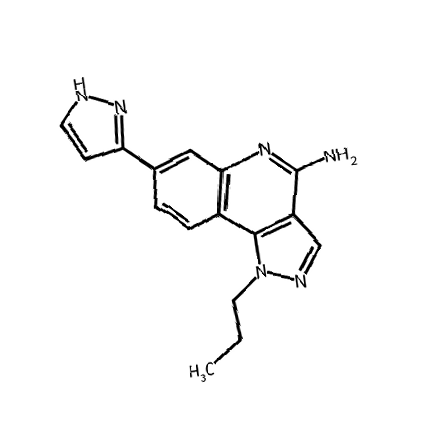 CCCn1ncc2c(N)nc3cc(-c4cc[nH]n4)ccc3c21